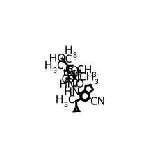 CC(c1cc(C#N)c2c(c1NC(=O)NS(=O)(=N[Si](C)(C)C(C)(C)C)c1cc(C(C)(C)O)co1)CCC2)C1CC1